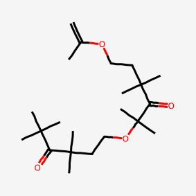 C=C(C)OCCC(C)(C)C(=O)C(C)(C)OCCC(C)(C)C(=O)C(C)(C)C